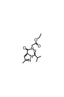 CCOC(=O)Cn1nc(C(C)C)n2nc(C)cc2c1=O